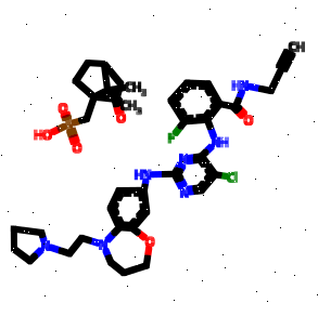 C#CCNC(=O)c1cccc(F)c1Nc1nc(Nc2ccc3c(c2)OCCCN3CCN2CCCC2)ncc1Cl.CC1(C)C2CCC1(CS(=O)(=O)O)C(=O)C2